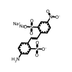 Nc1ccc(C=Cc2ccc([N+](=O)[O-])cc2S(=O)(=O)[O-])c(S(=O)(=O)[O-])c1.[Na+].[Na+]